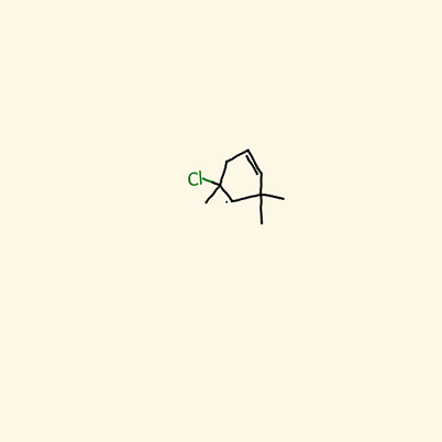 CC1(C)[CH]C(C)(Cl)CC=C1